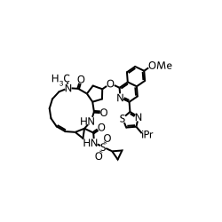 COc1ccc2c(OC3CC4C(=O)NC5(C(=O)NS(=O)(=O)C6CC6)CC5C=CCCCCN(C)C(=O)C4C3)nc(-c3nc(C(C)C)cs3)cc2c1